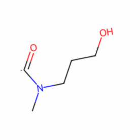 CN([C]=O)CCCO